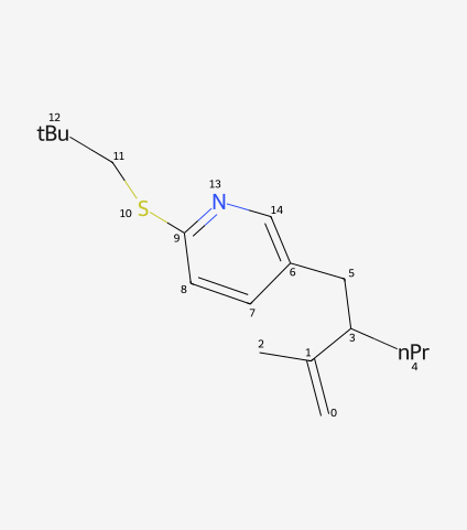 C=C(C)C(CCC)Cc1ccc(SCC(C)(C)C)nc1